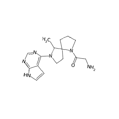 CC1N(c2ncnc3[nH]ccc23)CCC12CCCN2C(=O)CN